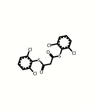 O=C(CC(=O)Sc1c(Cl)cccc1Cl)Sc1c(Cl)cccc1Cl